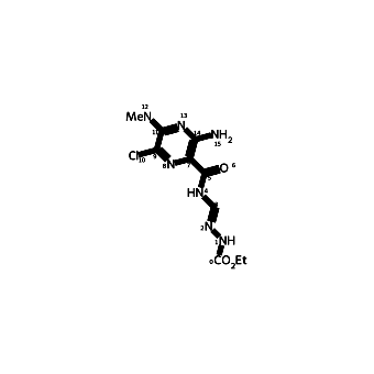 CCOC(=O)NN=CNC(=O)c1nc(Cl)c(NC)nc1N